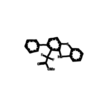 COC(=O)C(F)(F)c1c(-c2ccccc2)ccc2c1Nc1ccccc1S2